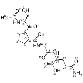 CC(=O)N[C@@H](CO)C(=O)N1CCC[C@H]1C(=O)NCC(=O)N[C@@H](CCC(N)=O)C(=O)O